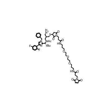 CC(=O)N(CC(CN)CSC1CC(=O)N(CCC(=O)NCCCOCCOCCOCCCNC(=O)CCN2C(=O)C=CC2=O)C1=O)[C@@H](c1nc(-c2cc(F)ccc2F)cn1Cc1ccccc1)C(C)(C)C